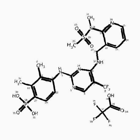 Cc1c(Nc2ncc(C(F)(F)F)c(NCc3cccnc3N(C)S(C)(=O)=O)n2)ccc(P(=O)(O)O)c1C.O=C(O)C(F)(F)F